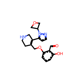 O=Cc1c(O)cccc1OCC1=C(c2ccnn2C2COC2)CNCC1